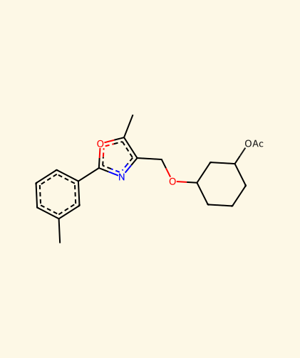 CC(=O)OC1CCCC(OCc2nc(-c3cccc(C)c3)oc2C)C1